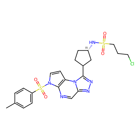 Cc1ccc(S(=O)(=O)n2ccc3c2ncc2nnc(C4CC[C@H](NS(=O)(=O)CCCCl)C4)n23)cc1